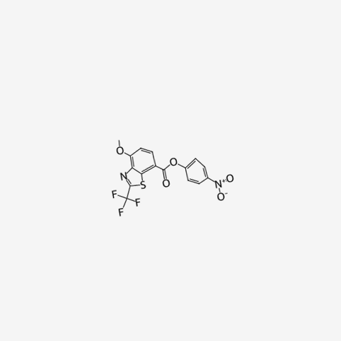 COc1ccc(C(=O)Oc2ccc([N+](=O)[O-])cc2)c2sc(C(F)(F)F)nc12